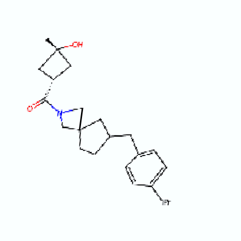 CC(C)c1ccc(CC2CCC3(C2)CN(C(=O)[C@H]2C[C@@](C)(O)C2)C3)cc1